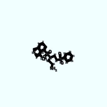 Cc1cncc2cccc(S(=O)(=O)N(CCN)CCS(=O)(=O)c3ccccc3)c12